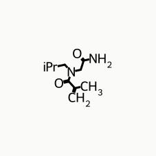 C=C(C)C(=O)N(CC(N)=O)CC(C)C